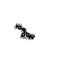 CCC(C)OP(=O)(O)C(F)(F)c1ccc(CN(c2ccc(F)cc2)c2ncc(-c3ccc(C(N)=O)cc3)o2)cc1Br